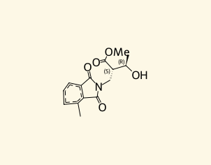 COC(=O)[C@@H](CN1C(=O)c2cccc(C)c2C1=O)[C@@H](C)O